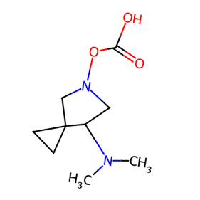 CN(C)C1CN(OC(=O)O)CC12CC2